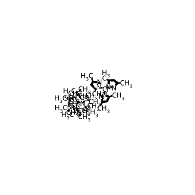 C[Si](C)(C)N(C(N([Si](C)(C)C)[Si](C)(C)C)N([Si](C)(C)C)[Si](C)(C)C)[Si](C)(C)C.Cc1cc(C)[n]([Cr]([n]2nc(C)cc2C)[n]2nc(C)cc2C)n1